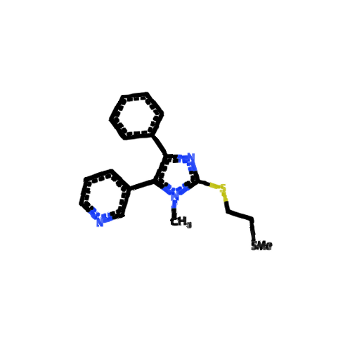 CSCCSc1nc(-c2ccccc2)c(-c2cccnc2)n1C